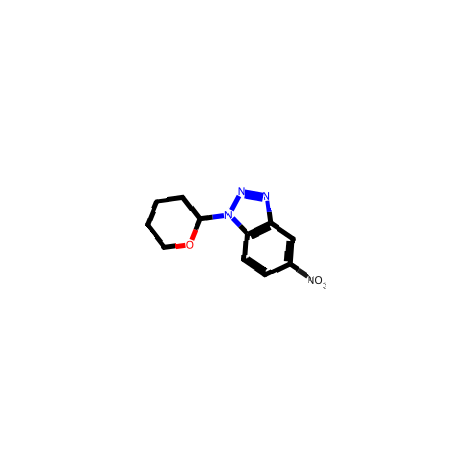 O=[N+]([O-])c1ccc2c(c1)nnn2C1CCCCO1